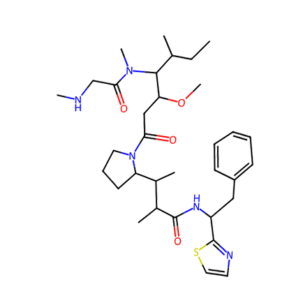 CCC(C)C(C(CC(=O)N1CCCC1C(C)C(C)C(=O)NC(Cc1ccccc1)c1nccs1)OC)N(C)C(=O)CNC